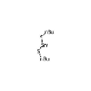 CCCC[S][Sn][S]CCCC